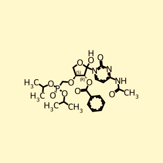 CC(=O)Nc1ccn(C2(O)OC[C@H](OCP(=O)(OC(C)C)OC(C)C)[C@H]2OC(=O)c2ccccc2)c(=O)n1